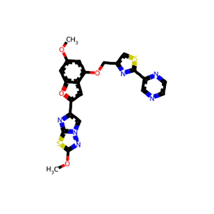 COc1cc(OCc2csc(-c3cnccn3)n2)c2cc(-c3cn4nc(OC)sc4n3)oc2c1